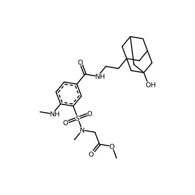 CNc1ccc(C(=O)NCCC23CC4CC(CC(O)(C4)C2)C3)cc1S(=O)(=O)N(C)CC(=O)OC